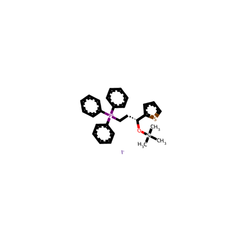 C[Si](C)(C)O[C@H](CC[P+](c1ccccc1)(c1ccccc1)c1ccccc1)c1cccs1.[I-]